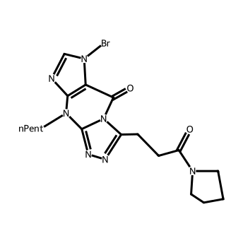 CCCCCn1c2ncn(Br)c2c(=O)n2c(CCC(=O)N3CCCC3)nnc12